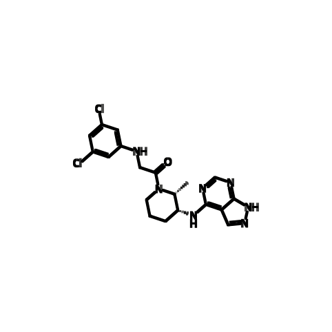 C[C@@H]1[C@H](Nc2ncnc3[nH]ncc23)CCCN1C(=O)CNc1cc(Cl)cc(Cl)c1